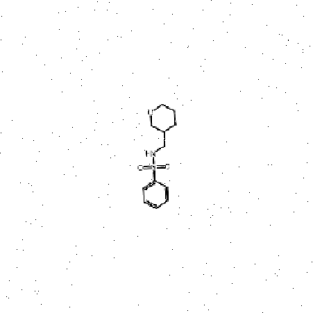 O=S(=O)(NCC1CCCOC1)c1ccccc1